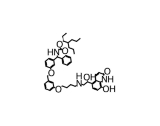 CCCC(CCC)[C@H](CC)OC(=O)NC(c1ccccc1)c1cccc(OCc2cccc(OCCCCNC[C@H](O)c3ccc(O)c4[nH]c(=O)ccc34)c2)c1